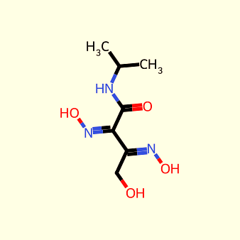 CC(C)NC(=O)C(=N\O)/C(CO)=N/O